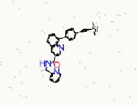 C[C@H](NC(=O)c1cnc2c(-c3ccc(C#C[Si](C)(C)C)cc3)cccc2c1)c1ccccn1